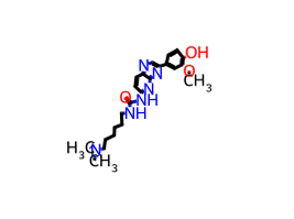 COc1cc(-c2cnc3ccc(NC(=O)NCCCCCCN(C)C)nc3n2)ccc1O